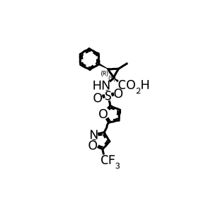 CC1[C@H](c2ccccc2)[C@]1(NS(=O)(=O)c1ccc(-c2cc(C(F)(F)F)on2)o1)C(=O)O